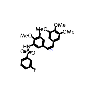 COc1cc(/C=C\c2cc(F)c(OC)c(NS(=O)(=O)c3cccc(F)c3)c2)cc(OC)c1OC